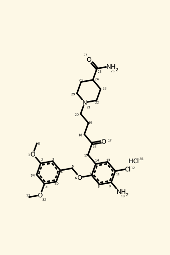 COc1cc(COc2cc(N)c(Cl)cc2CC(=O)CCCN2CCC(C(N)=O)CC2)cc(OC)c1.Cl